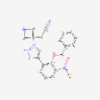 N#CCC1(n2cc(-c3cccc([N+](=O)[O-])c3OCc3ccccc3)cn2)CNC1